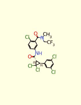 CN(CC(F)(F)F)C(=O)c1cc(NC(=O)[C@@H]2[C@@H](c3cc(Cl)cc(Cl)c3)C2(Cl)Cl)ccc1Cl